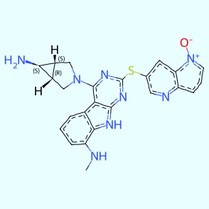 CNc1cccc2c1[nH]c1nc(Sc3cnc4ccc[n+]([O-])c4c3)nc(N3C[C@@H]4[C@@H](N)[C@@H]4C3)c12